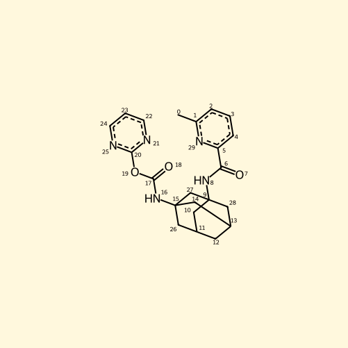 Cc1cccc(C(=O)NC23CC4CC(CC(NC(=O)Oc5ncccn5)(C4)C2)C3)n1